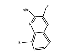 CCCCc1nc2c(Br)cccc2cc1Br